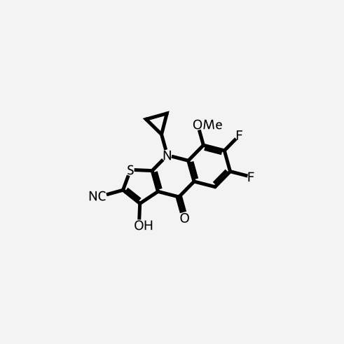 COc1c(F)c(F)cc2c(=O)c3c(O)c(C#N)sc3n(C3CC3)c12